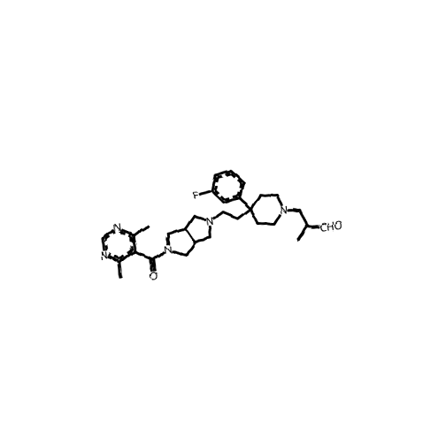 Cc1ncnc(C)c1C(=O)N1CC2CN(CCC3(c4cccc(F)c4)CCN(CC(C)C=O)CC3)CC2C1